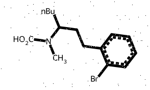 CCCCC(CCc1ccccc1Br)N(C)C(=O)O